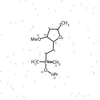 C=P(C)(CCC1OC(C)CC1OC)OCCC